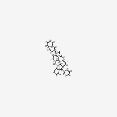 c1ccc(N(c2ccccc2)c2ccc3ccc4c(Nc5ccc6ccccc6c5)ccc5ccc2c3c54)cc1